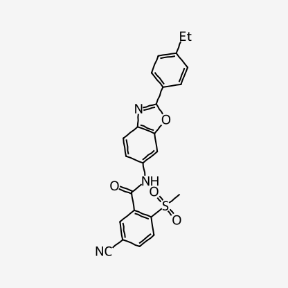 CCc1ccc(-c2nc3ccc(NC(=O)c4cc(C#N)ccc4S(C)(=O)=O)cc3o2)cc1